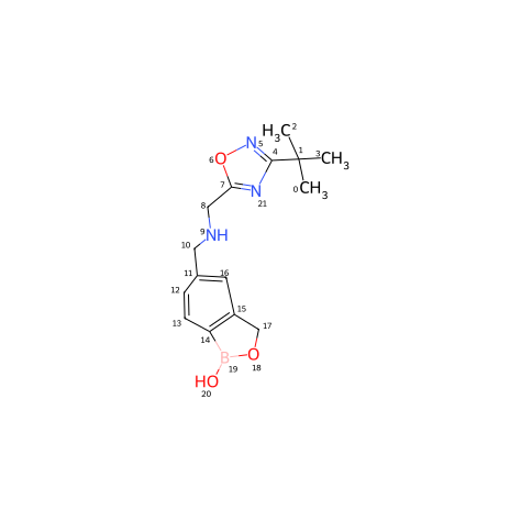 CC(C)(C)c1noc(CNCc2ccc3c(c2)COB3O)n1